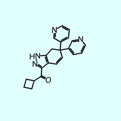 O=C(c1n[nH]c2c1C=CC(c1cccnc1)(c1cccnc1)C2)C1CCC1